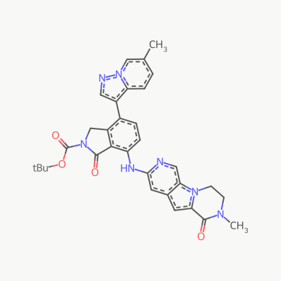 Cc1ccc2c(-c3ccc(Nc4cc5cc6n(c5cn4)CCN(C)C6=O)c4c3CN(C(=O)OC(C)(C)C)C4=O)cnn2c1